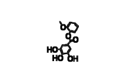 COc1ccccc1OC(=O)c1cc(O)c(O)c(O)c1